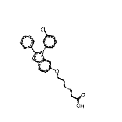 O=C(O)CCCCCOc1ccc2nc(-c3ccccc3)n(-c3cccc(Cl)c3)c2c1